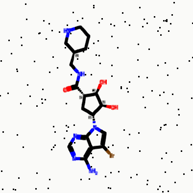 Nc1ncnc2c1c(Br)cn2[C@@H]1C[C@H](C(=O)NC[C@@H]2CCCNC2)[C@@H](O)[C@H]1O